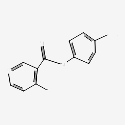 CCc1ccncc1C(=N)Nc1ccc(C)cc1